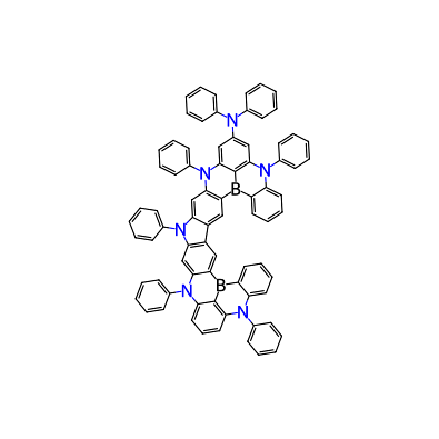 c1ccc(N(c2ccccc2)c2cc3c4c(c2)N(c2ccccc2)c2cc5c(cc2B4c2ccccc2N3c2ccccc2)c2cc3c(cc2n5-c2ccccc2)N(c2ccccc2)c2cccc4c2B3c2ccccc2N4c2ccccc2)cc1